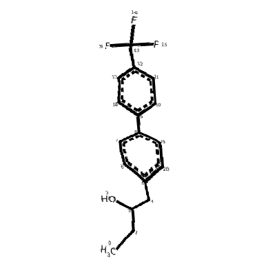 CCC(O)Cc1ccc(-c2ccc(C(F)(F)F)cc2)cc1